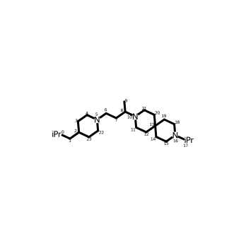 CC(C)CC1CCN(CCC(C)N2CCC3(CCN(C(C)C)CC3)CC2)CC1